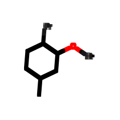 C[CH]OC1CC(C)CCC1C(C)C